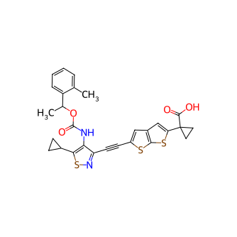 Cc1ccccc1C(C)OC(=O)Nc1c(C#Cc2cc3cc(C4(C(=O)O)CC4)sc3s2)nsc1C1CC1